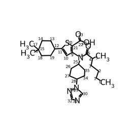 CCCCC(C)C(=O)N(c1cc(C2CCC(C)(C)CC2)sc1C(=O)O)C1CCC(n2cncn2)CC1